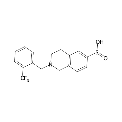 O=S(O)c1ccc2c(c1)CCN(Cc1ccccc1C(F)(F)F)C2